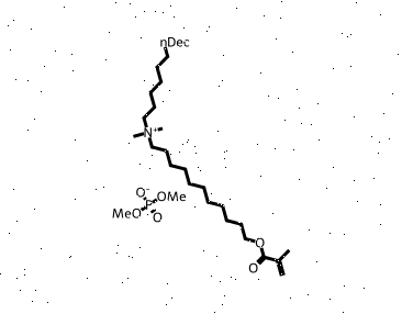 C=C(C)C(=O)OCCCCCCCCCCC[N+](C)(C)CCCCCCCCCCCCCCCC.COP(=O)([O-])OC